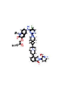 CNC(=O)COc1cc2cc(Nc3nc(N4CCC5(CC4)CC(C(C)(C)N4CCC(c6cccc7c6CN(C6CCCNC6=O)C7=O)CC4)C5)ncc3Cl)ccc2n(C(C)C)c1=O